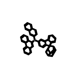 c1ccc2c(c1)-c1cc(N(c3ccc4ccccc4c3)c3cc4ccccc4c4ccccc34)ccc1C21C2CC3CC(C2)CC1C3